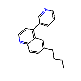 CCCCc1ccc2nccc(-c3cccnc3)c2c1